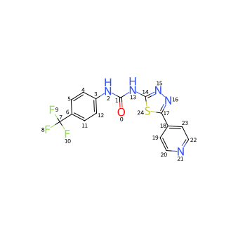 O=C(Nc1ccc(C(F)(F)F)cc1)Nc1nnc(-c2ccncc2)s1